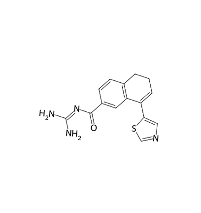 NC(N)=NC(=O)c1ccc2c(c1)C(c1cncs1)=CCC2